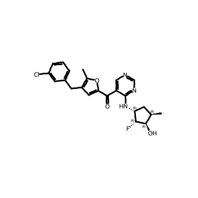 [CH2][C@@H]1C[C@@H](Nc2ncncc2C(=O)c2cc(Cc3cccc(Cl)c3)c(C)o2)[C@@H](F)[C@@H]1O